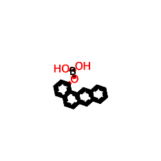 OB(O)Oc1cccc2ccc3cc4ccccc4cc3c12